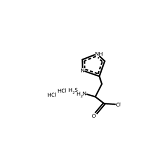 Cl.Cl.NC(Cc1c[nH]cn1)C(=O)Cl.S